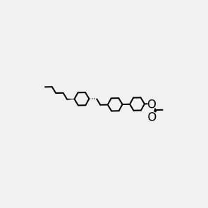 CCCCC[C@H]1CC[C@H](CCC2CCC(C3CCC(OC(C)=O)CC3)CC2)CC1